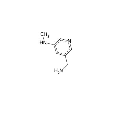 CNc1cncc(CN)c1